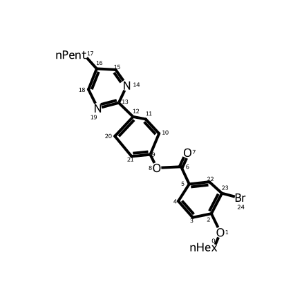 CCCCCCOc1ccc(C(=O)Oc2ccc(-c3ncc(CCCCC)cn3)cc2)cc1Br